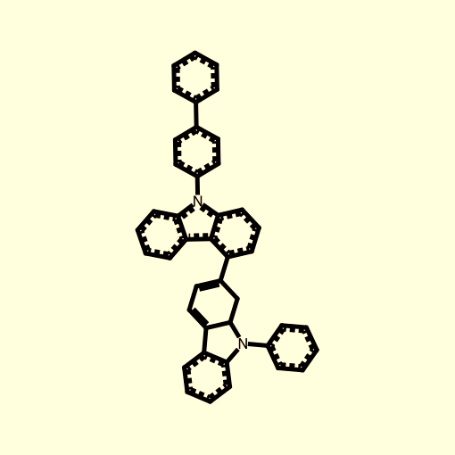 C1=C(c2cccc3c2c2ccccc2n3-c2ccc(-c3ccccc3)cc2)CC2C(=C1)c1ccccc1N2c1ccccc1